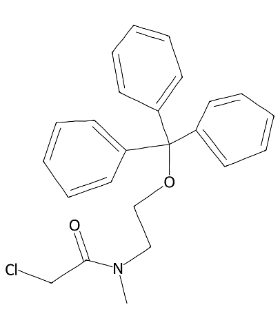 CN(CCOC(c1ccccc1)(c1ccccc1)c1ccccc1)C(=O)CCl